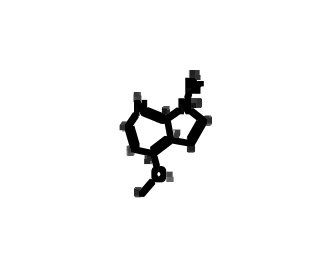 COc1ccnc2c1ccn2Br